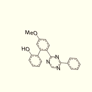 COc1ccc(-c2ncnc(-c3ccccc3)n2)c(-c2ccccc2O)c1